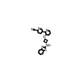 N#Cc1ccc(-c2ncccc2O[C@H]2C[C@@H](Nc3nc4ccccc4s3)C2)cn1